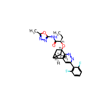 CC[C@@H](O[C@@]12CC3C([C@@H]3c3cc(-c4c(F)cccc4F)nnc31)[C@@H]2C)C(=O)Nc1nnc(C)o1